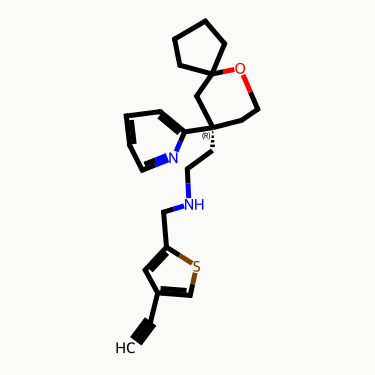 C#Cc1csc(CNCC[C@@]2(c3ccccn3)CCOC3(CCCC3)C2)c1